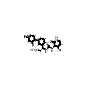 O=C(O)C[C@H](NC(=O)Nc1c(O)cc[nH]c1=O)c1cccc(-c2ccc(F)cc2F)c1